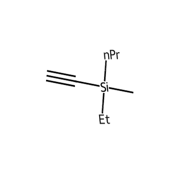 C#C[Si](C)(CC)CCC